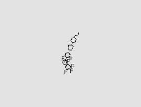 CCCC1CCC(C2CCC(c3ccc(C(F)(F)Oc4cc(F)c(F)c(F)c4)c(F)c3)CC2)CC1